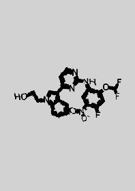 O=[N+]([O-])c1cc(Nc2nccc(-c3cn(CCO)c4ccccc34)n2)c(OC(F)F)cc1F